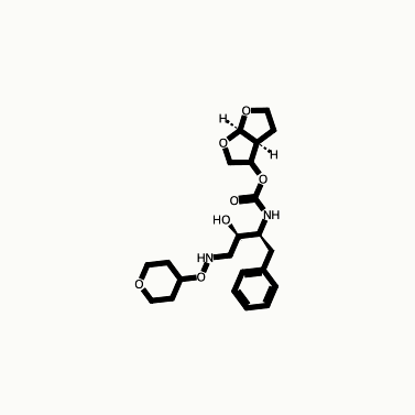 O=C(N[C@@H](Cc1ccccc1)[C@H](O)CNOC1CCOCC1)OC1CO[C@H]2OCC[C@@H]12